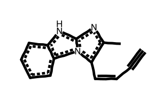 C#C/C=C\c1c(C)nc2[nH]c3ccccc3n12